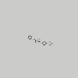 COc1c(Cl)c(NC(=O)c2csc3c(Nc4ccc(N5CCC(O)CC5)cc4)ncnc23)c(Cl)c(OC)c1Br